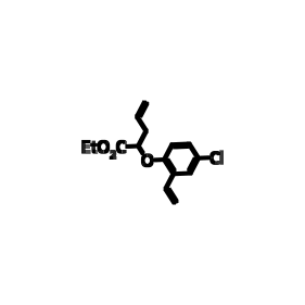 C=CCC(Oc1ccc(Cl)cc1C=C)C(=O)OCC